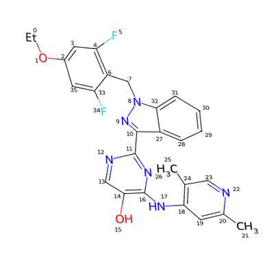 CCOc1cc(F)c(Cn2nc(-c3ncc(O)c(Nc4cc(C)ncc4C)n3)c3ccccc32)c(F)c1